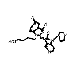 CC(=O)OCCCCn1c(Cn2c(=O)n(C3CCOCC3)c3ccncc32)nc(=O)c2cc(Cl)ccc21